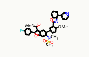 CNC(=O)c1c(-c2ccc(F)cc2)oc2cc(N(C)S(C)(=O)=O)c(-c3ccc(OC)c(-c4nc5c(-c6cccnc6)cccc5o4)c3)cc12